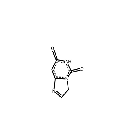 O=c1cc2n(c(=O)[nH]1)CC=N2